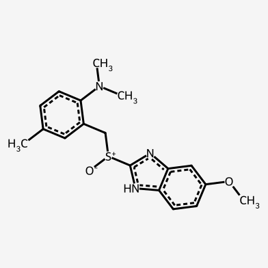 COc1ccc2[nH]c([S+]([O-])Cc3cc(C)ccc3N(C)C)nc2c1